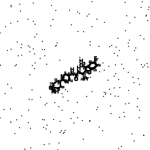 Cc1c([C@@H](NC(=O)Nc2cnc(N3CCS(=N)(=O)CC3)nc2)C(C)C)oc2ccc(F)cc12